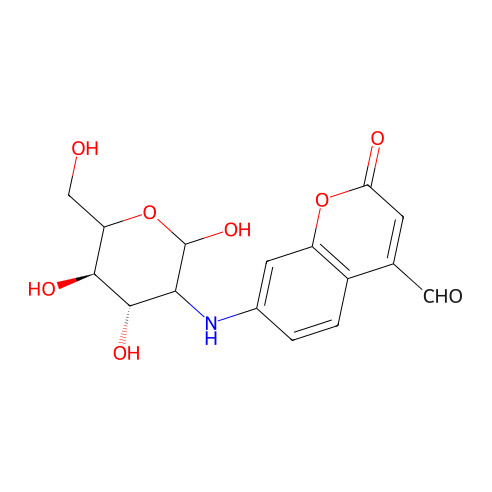 O=Cc1cc(=O)oc2cc(NC3C(O)OC(CO)[C@H](O)[C@H]3O)ccc12